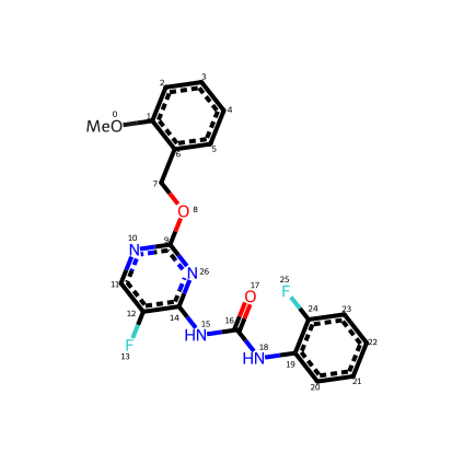 COc1ccccc1COc1ncc(F)c(NC(=O)Nc2ccccc2F)n1